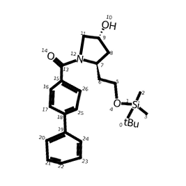 CC(C)(C)[Si](C)(C)OCC[C@@H]1C[C@@H](O)CN1C(=O)c1ccc(-c2ccccc2)cc1